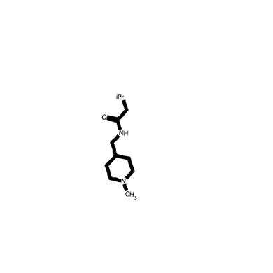 CC(C)CC(=O)NCC1CCN(C)CC1